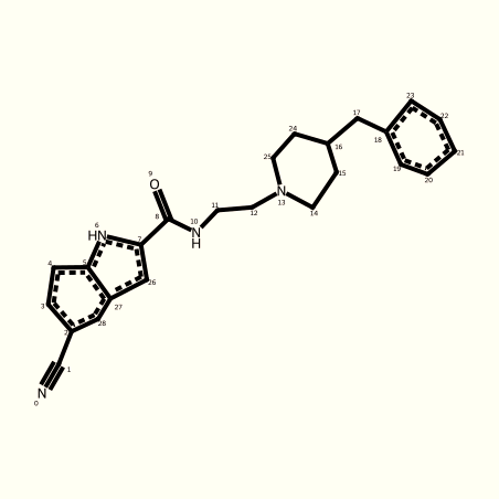 N#Cc1ccc2[nH]c(C(=O)NCCN3CCC(Cc4ccccc4)CC3)cc2c1